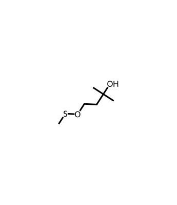 CSOCCC(C)(C)O